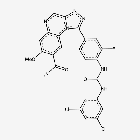 COc1cc2ncc3nnc(-c4ccc(NC(=O)Nc5cc(Cl)cc(Cl)c5)c(F)c4)n3c2cc1C(N)=O